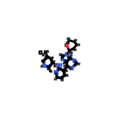 Cc1ncc([N+](=O)[O-])cc1Nc1ncccc1-c1ncnc2c1ncn2C1CCCCO1